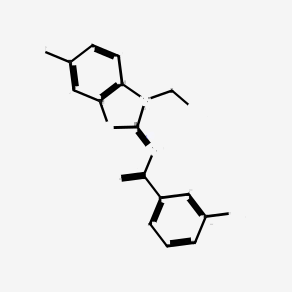 Cc1ccc2c(c1)s/c(=N\C(=O)c1cccc(C(F)(F)F)c1)n2CC(=O)O